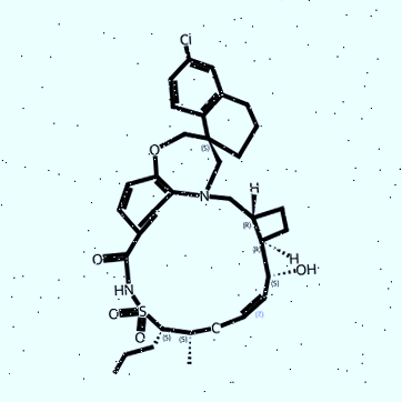 CCC[C@H]1[C@@H](C)C/C=C\[C@@H](O)[C@@H]2CC[C@H]2CN2C[C@@]3(CCCc4cc(Cl)ccc43)COc3ccc(cc32)C(=O)NS1(=O)=O